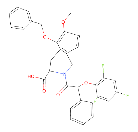 COc1ccc2c(c1OCc1ccccc1)CC(C(=O)O)N(C(=O)C(Oc1c(F)cc(F)cc1F)c1ccccc1)C2